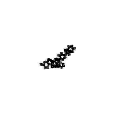 CC(C)N(c1nn(-c2ccc(-c3cn4ccccc4n3)cc2)cc1C(=O)O)C(=O)[C@H]1CC[C@H](C)CC1